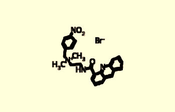 C[N+](C)(CCNC(=O)c1cccc2cc3ccccc3nc12)Cc1ccc([N+](=O)[O-])cc1.[Br-]